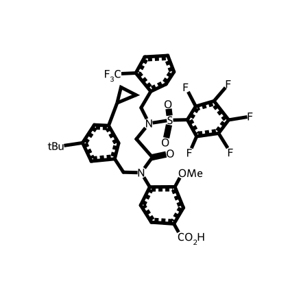 COc1cc(C(=O)O)ccc1N(Cc1cc(C2CC2)cc(C(C)(C)C)c1)C(=O)CN(Cc1ccccc1C(F)(F)F)S(=O)(=O)c1c(F)c(F)c(F)c(F)c1F